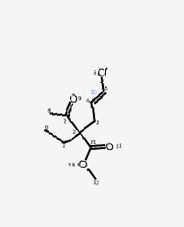 CCC(C/C=C/Cl)(C(C)=O)C(=O)OC